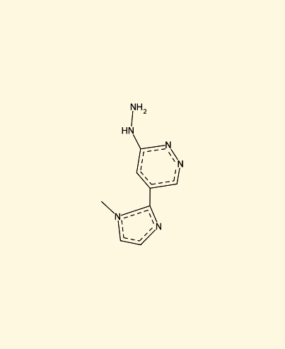 Cn1ccnc1-c1cnnc(NN)c1